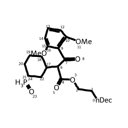 CCCCCCCCCCCCOC(=O)C(C(=O)c1c(OC)cccc1OC)C1CCCCC1.O=[PH3]